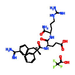 C[C@@](Cc1ccc(C(=N)N)cc1)(C(=O)NC(CCC(=O)O)C(=O)NC(CCCNC(=N)N)C(N)=O)c1ccccc1.O=C(O)C(F)(F)F